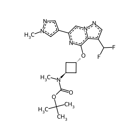 Cn1cc(-c2cn3ncc(C(F)F)c3c(O[C@H]3C[C@H](N(C)C(=O)OC(C)(C)C)C3)n2)cn1